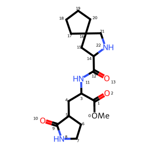 COC(=O)C(CC1CCNC1=O)NC(=O)C1CC2(CCCC2)CN1